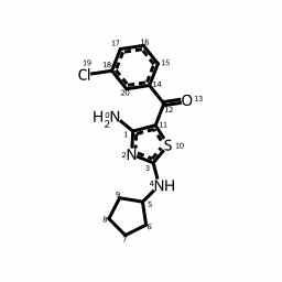 Nc1nc(NC2CCCC2)sc1C(=O)c1cccc(Cl)c1